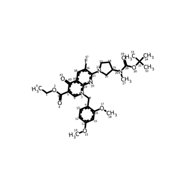 CCOC(=O)c1cn(Cc2ccc(OC)cc2OC)c2nc(N3CCC(N(C)C(=O)OC(C)(C)C)C3)c(F)cc2c1=O